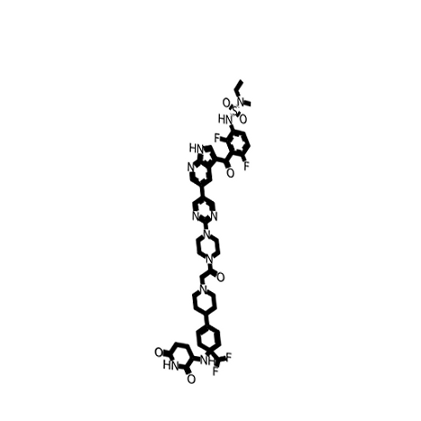 CCN(C)S(=O)(=O)Nc1ccc(F)c(C(=O)c2c[nH]c3ncc(-c4cnc(N5CCN(C(=O)CN6CCC(C7=CCC(NC8CCC(=O)NC8=O)(C(F)F)C=C7)CC6)CC5)nc4)cc23)c1F